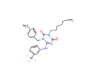 CCCCCCn1c(=O)nc(Nc2cccc(C(F)(F)F)c2)n(Cc2ccc(C)cc2)c1=O